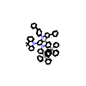 CC1(C)c2ccccc2N(c2cc3c4c(c2)N(c2cccc([Si](c5ccccc5)(c5ccccc5)c5ccccc5)c2)c2cc([Si](c5ccccc5)(c5ccccc5)c5ccccc5)ccc2B4c2cc(-c4ccccc4)ccc2N3c2ccc(-c3ccccc3)cc2)c2ccccc21